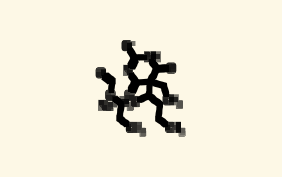 CCCC(C)C1(CC)C(=O)N=C([O-])NC1=O.CCCOC=O.[Na+]